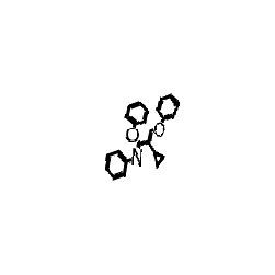 C(/Oc1ccccc1)=C(\C(=N\c1ccccc1)Oc1ccccc1)C1CC1